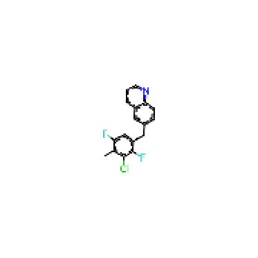 Cc1c(F)cc(Cc2ccc3ncccc3c2)c(F)c1Cl